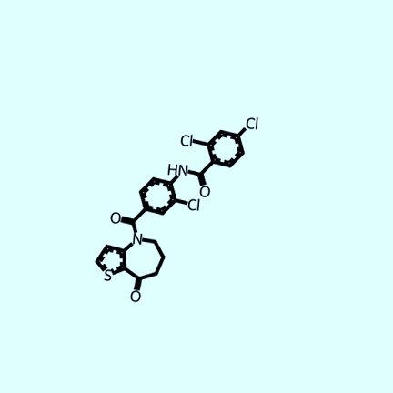 O=C(Nc1ccc(C(=O)N2CCCC(=O)c3sccc32)cc1Cl)c1ccc(Cl)cc1Cl